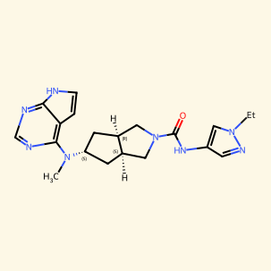 CCn1cc(NC(=O)N2C[C@H]3C[C@H](N(C)c4ncnc5[nH]ccc45)C[C@H]3C2)cn1